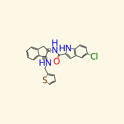 O=C(N[C@H]1Cc2ccccc2[C@H]1NCc1cccs1)c1cc2cc(Cl)ccc2[nH]1